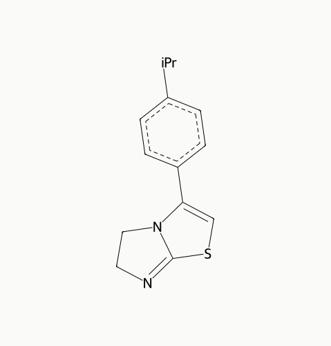 CC(C)c1ccc(C2=CSC3=NCCN23)cc1